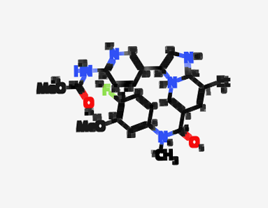 CCc1cc(C(=O)N(C)c2ccc(F)c(OC)c2)cn2c(-c3ccc(NC(=O)OC)nc3)cnc12